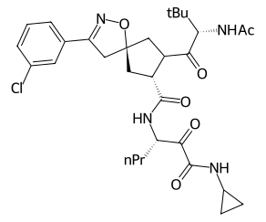 CCC[C@H](NC(=O)[C@@H]1C[C@]2(CC(c3cccc(Cl)c3)=NO2)CC1C(=O)[C@@H](NC(C)=O)C(C)(C)C)C(=O)C(=O)NC1CC1